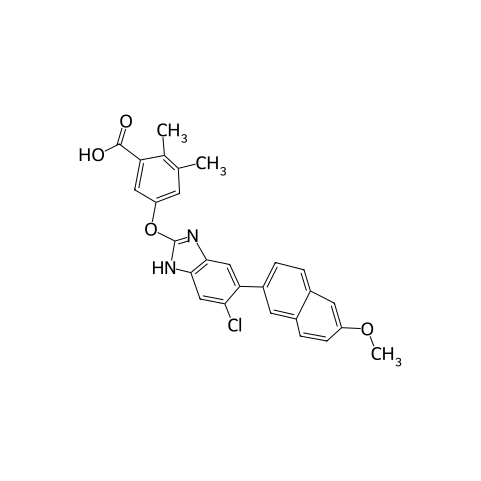 COc1ccc2cc(-c3cc4nc(Oc5cc(C)c(C)c(C(=O)O)c5)[nH]c4cc3Cl)ccc2c1